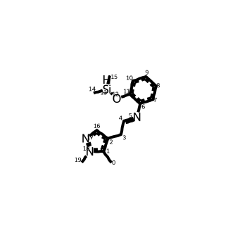 Cc1c(CC=Nc2ccccc2O[SiH](C)C)cnn1C